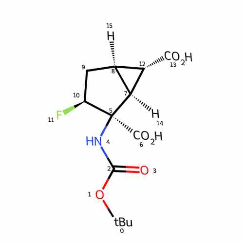 CC(C)(C)OC(=O)N[C@]1(C(=O)O)[C@H]2[C@@H](C[C@@H]1F)[C@@H]2C(=O)O